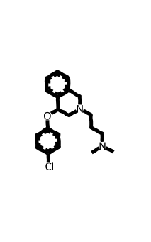 CN(C)CCCN1Cc2ccccc2C(Oc2ccc(Cl)cc2)C1